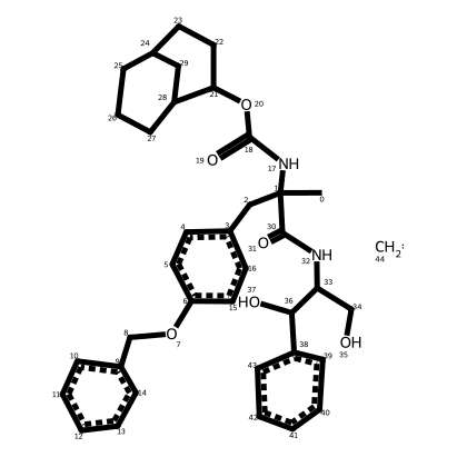 CC(Cc1ccc(OCc2ccccc2)cc1)(NC(=O)OC1CCC2CCCC1C2)C(=O)NC(CO)C(O)c1ccccc1.[CH2]